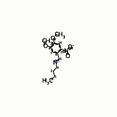 CCCC/N=C/c1cc(OC)c(OC)cc1[N+](=O)[O-]